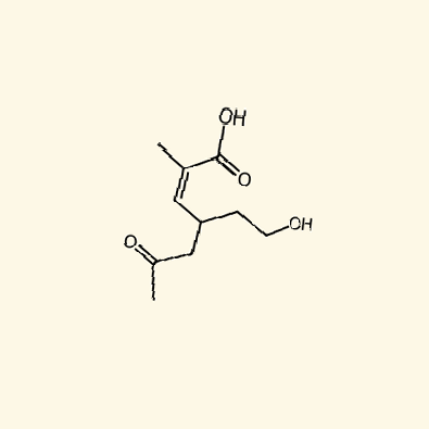 CC(=O)CC(C=C(C)C(=O)O)CCO